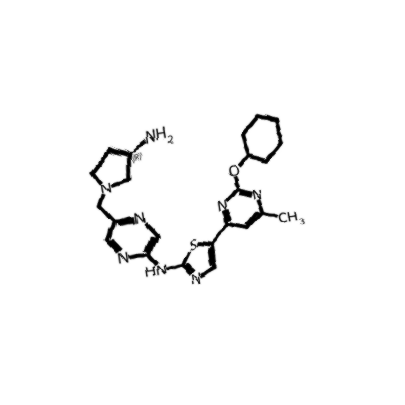 Cc1cc(-c2cnc(Nc3cnc(CN4CC[C@@H](N)C4)cn3)s2)nc(OC2CCCCC2)n1